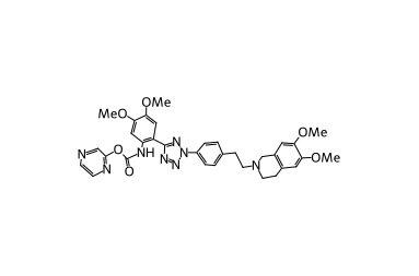 COc1cc2c(cc1OC)CN(CCc1ccc(-n3nnc(-c4cc(OC)c(OC)cc4NC(=O)Oc4cnccn4)n3)cc1)CC2